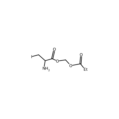 CCC(=O)OCOC(=O)C(N)CI